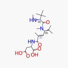 C/C(=C\[C@H](C(C)C)N(C)C(=O)[C@@H](NI)C(C)(C)C)C(=O)NC(CC(=O)O)C(=O)O